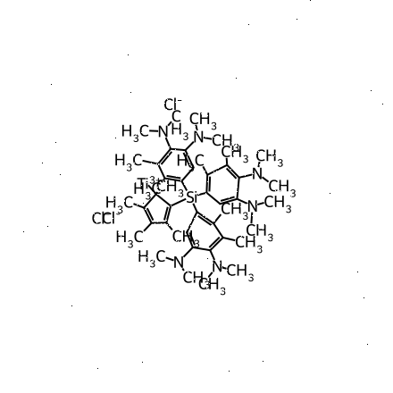 CC1=C(C)[C](C)([Ti+3])C([Si](c2cc(N(C)C)c(N(C)C)c(C)c2C)(c2cc(N(C)C)c(N(C)C)c(C)c2C)c2cc(N(C)C)c(N(C)C)c(C)c2C)=C1C.[Cl-].[Cl-].[Cl-]